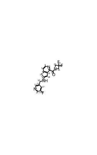 O=C(c1nccc2sc(NCc3cncc(F)c3)cc12)N1CC(F)(F)C1